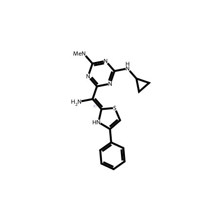 CNc1nc(NC2CC2)nc(/C(N)=C2/NC(c3ccccc3)=CS2)n1